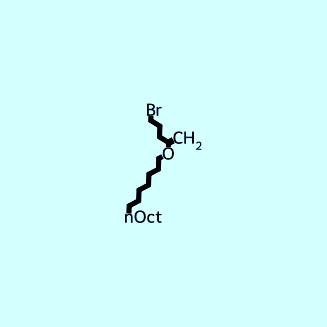 C=C(CCCBr)OCCCCCCCCCCCCCCC